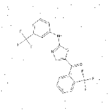 O=C(c1cnc(Nc2cccc(C(F)(F)F)c2)s1)c1ccccc1C(F)(F)F